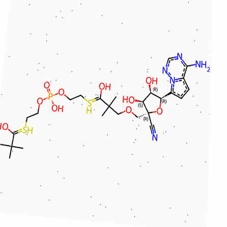 CC(C)(C)C(O)=[SH]CCOP(=O)(O)OCC[SH]=C(O)C(C)(C)COC[C@@]1(C#N)O[C@H](c2ccc3c(N)ncnn23)[C@H](O)[C@@H]1O